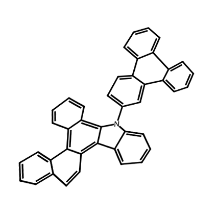 c1ccc2c(c1)ccc1c2c2ccccc2c2c1c1ccccc1n2-c1ccc2c3ccccc3c3ccccc3c2c1